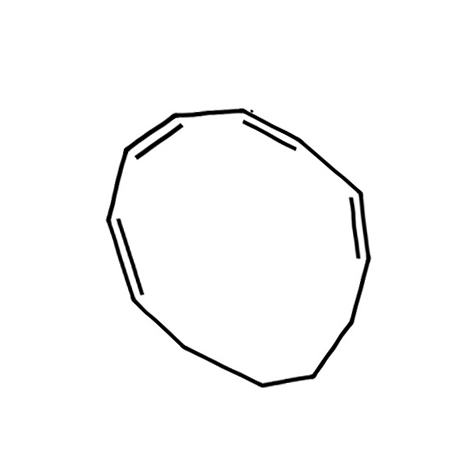 [C]1=CC=CCCCCC=CC=C1